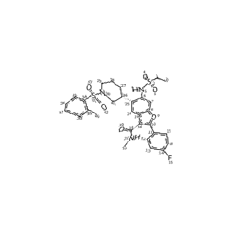 CCS(=O)(=O)Nc1cc2oc(-c3ccc(F)cc3)c(C(=O)NC)c2cc1[C@H]1CCCN(S(=O)(=O)c2ccccc2C)C1